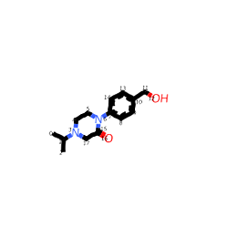 CC(C)N1CCN(c2ccc(CO)cc2)C(=O)C1